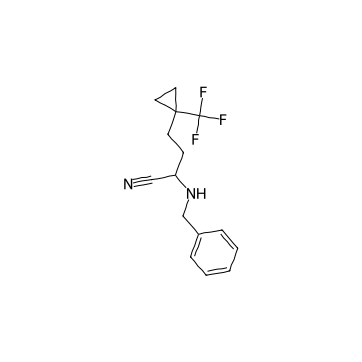 N#CC(CCC1(C(F)(F)F)CC1)NCc1ccccc1